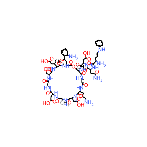 CC1NC(=O)C(CC(=O)O)NC(=O)C(CCCN)NC(=O)CNC(=O)C(NC(=O)C(CC(=O)O)NC(=O)C(CC(N)=O)NC(=O)C(N)C/C=C/Nc2ccccc2)C(C)OC(=O)C(CC(=O)c2ccccc2N)NC(=O)C(C(C)CC(=O)O)NC(=O)C(CO)NC(=O)CNC(=O)C(CC(=O)O)NC1=O